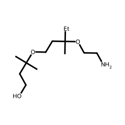 CCC(C)(CCOC(C)(C)CCO)OCCN